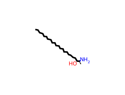 CCCCCCCCCCCCCCCCCCCC[C@@H](O)[C@H](C)N